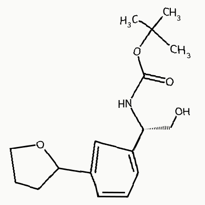 CC(C)(C)OC(=O)N[C@H](CO)c1cccc(C2CCCO2)c1